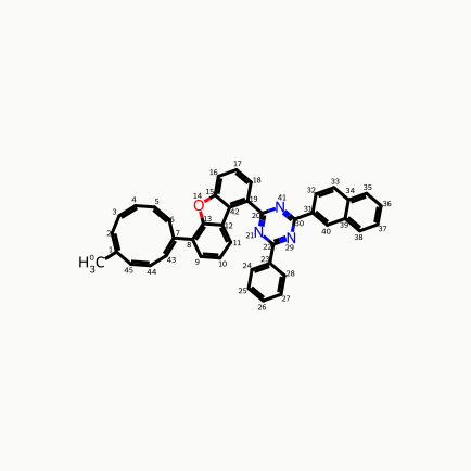 Cc1cccccc(-c2cccc3c2oc2cccc(-c4nc(-c5ccccc5)nc(-c5ccc6ccccc6c5)n4)c23)ccc1